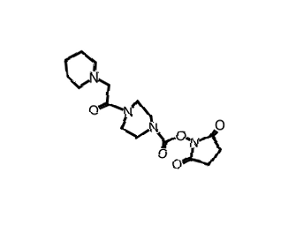 O=C(CN1CCCCC1)N1CCN(C(=O)ON2C(=O)CCC2=O)CC1